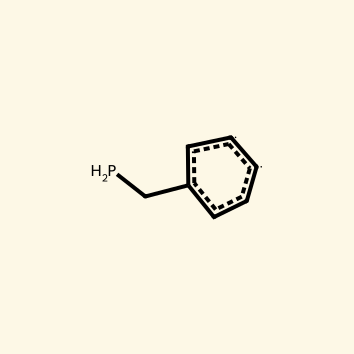 PCc1c[c][c]cc1